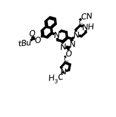 CN1CC[C@@H](COc2nc3c(c(N4CCN[C@@H](CC#N)C4)n2)CCN(c2cc(OC(=O)C(C)(C)C)cc4ccccc24)C3)C1